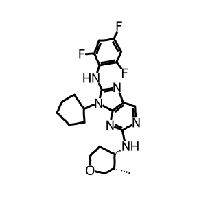 C[C@@H]1COCC[C@@H]1Nc1ncc2nc(Nc3c(F)cc(F)cc3F)n(C3CCCCC3)c2n1